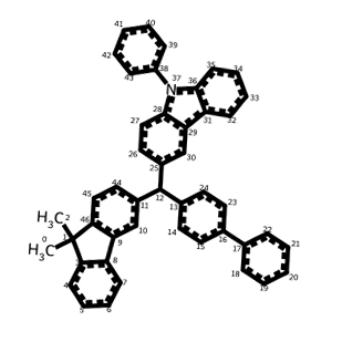 CC1(C)c2ccccc2-c2cc(C(c3ccc(-c4ccccc4)cc3)c3ccc4c(c3)c3ccccc3n4-c3ccccc3)ccc21